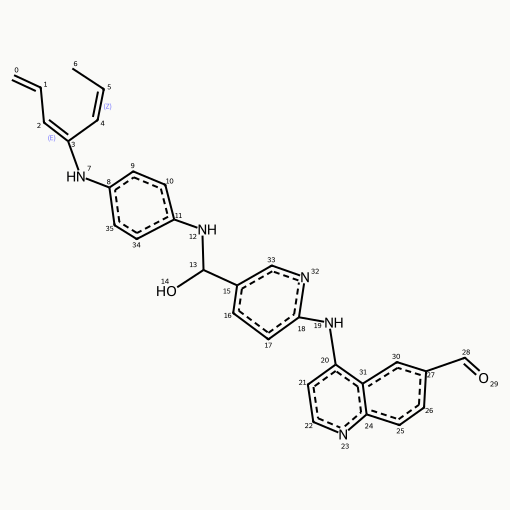 C=C/C=C(\C=C/C)Nc1ccc(NC(O)c2ccc(Nc3ccnc4ccc(C=O)cc34)nc2)cc1